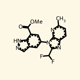 COC(=O)c1cc(-n2c(C(F)F)nc3ccc(C)nc32)cc2cn[nH]c12